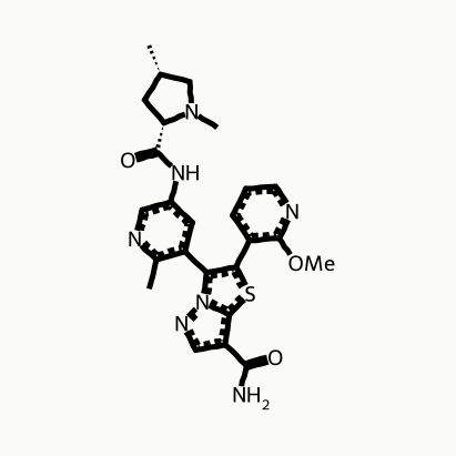 COc1ncccc1-c1sc2c(C(N)=O)cnn2c1-c1cc(NC(=O)[C@@H]2C[C@H](C)CN2C)cnc1C